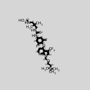 CC(C)(CNC(=O)O)CNC(=S)Nc1cc(F)c(Oc2ccnc3c2c(C(F)(F)F)cn3COCC[Si](C)(C)C)c(F)c1